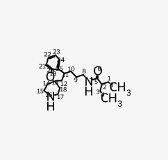 CCC(CC)C(=O)NCCCC1CC2(CCNCC2)Oc2ccccc21